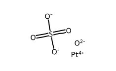 O=S(=O)([O-])[O-].[O-2].[Pt+4]